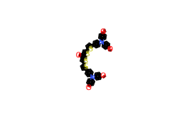 COc1ccc(N(c2ccc(OC)cc2)c2ccc(-c3ccc(-c4cc5c(s4)-c4sc(-c6ccc(-c7ccc(N(c8ccc(OC)cc8)c8ccc(OC)cc8)cc7)s6)cc4C5=O)s3)cc2)cc1